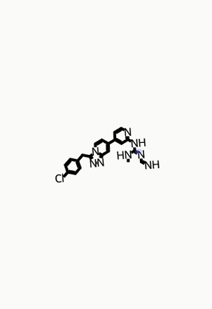 CN/C(=N\C=N)Nc1cc(-c2ccn3c(Cc4ccc(Cl)cc4)nnc3c2)ccn1